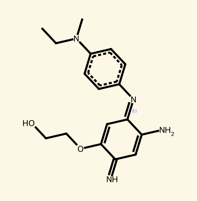 CCN(C)c1ccc(/N=C2\C=C(OCCO)C(=N)C=C2N)cc1